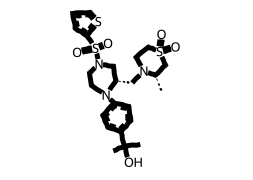 C[C@H]1CS(=O)(=O)CCN1C[C@H]1CN(S(=O)(=O)c2cccs2)CCN1c1ccc(C(C)(C)O)cc1